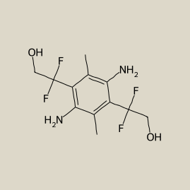 Cc1c(N)c(C(F)(F)CO)c(C)c(N)c1C(F)(F)CO